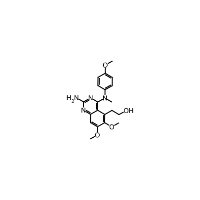 COc1ccc(N(C)c2nc(N)nc3cc(OC)c(OC)c(CCO)c23)cc1